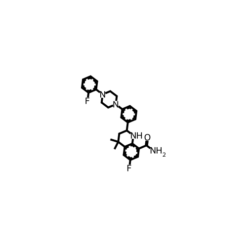 CC1(C)CC(c2cccc(N3CCN(c4ccccc4F)CC3)c2)Nc2c(C(N)=O)cc(F)cc21